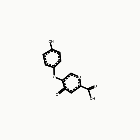 O=C(O)c1cc(=O)c(Oc2ccc(O)cc2)co1